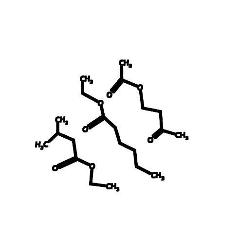 CC(=O)CCOC(C)=O.CCCCCC(=O)OCC.CCOC(=O)CC(C)C